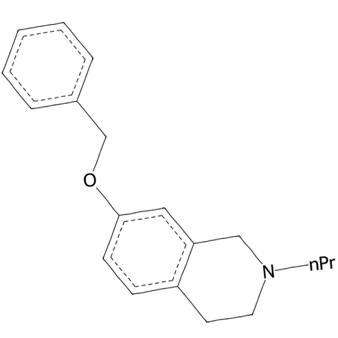 CCCN1CCc2ccc(OCc3ccccc3)cc2C1